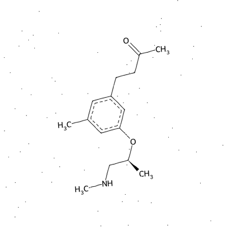 CNC[C@H](C)Oc1cc(C)cc(CCC(C)=O)c1